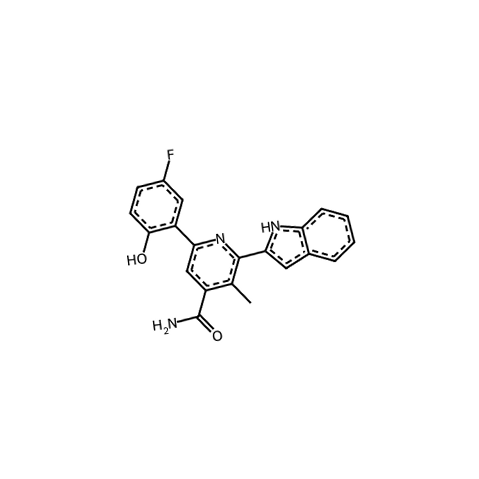 Cc1c(C(N)=O)cc(-c2cc(F)ccc2O)nc1-c1cc2ccccc2[nH]1